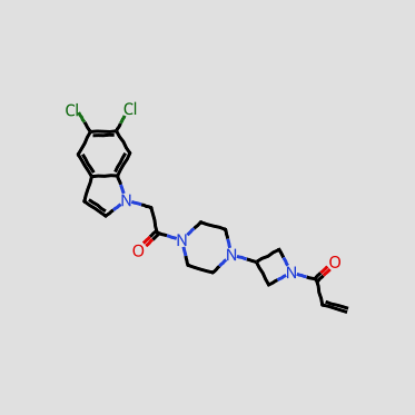 C=CC(=O)N1CC(N2CCN(C(=O)Cn3ccc4cc(Cl)c(Cl)cc43)CC2)C1